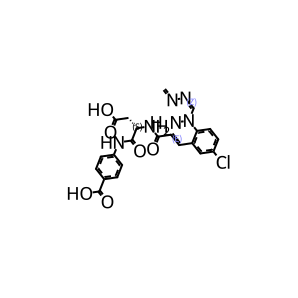 C=N/N=C\N(N)c1ccc(Cl)cc1/C=C/C(=O)N[C@@H](CC(=O)O)C(=O)Nc1ccc(C(=O)O)cc1